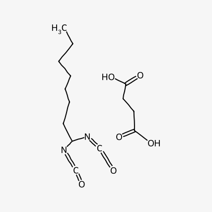 CCCCCCCC(N=C=O)N=C=O.O=C(O)CCC(=O)O